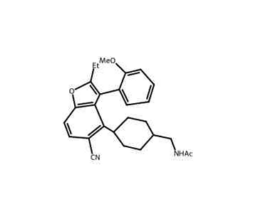 CCc1oc2ccc(C#N)c(C3CCC(CNC(C)=O)CC3)c2c1-c1ccccc1OC